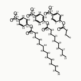 CCCC(=O)Oc1ccc([N+](=O)[O-])cc1.CCCCCCCCCC(=O)Oc1ccc([N+](=O)[O-])cc1.CCCCCCCCCCCCCC(=O)Oc1ccc([N+](=O)[O-])cc1